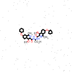 CCOc1c(C(=O)NC(NC(=O)c2nc(C)c3cc(Oc4ccccc4)ccc3c2OCC)C(=O)O)nc(C)c2cc(Oc3ccccc3)ccc12